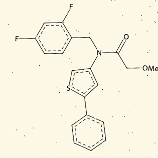 COCC(=O)N(Cc1ccc(F)cc1F)c1csc(-c2ccccc2)c1